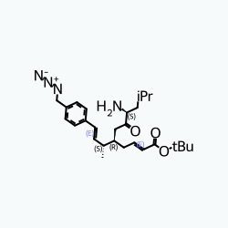 CC(C)C[C@H](N)C(=O)C[C@@H](C/C=C/C(=O)OC(C)(C)C)[C@H](C)/C=C/c1ccc(CN=[N+]=[N-])cc1